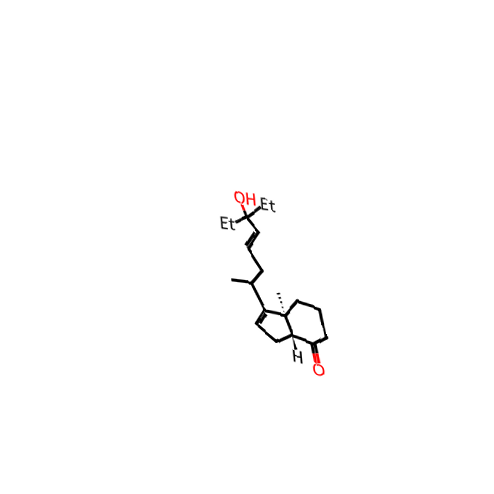 CCC(O)(C=CCC(C)C1=CC[C@H]2C(=O)CCC[C@]12C)CC